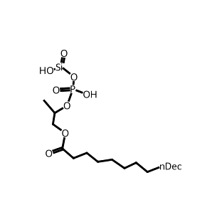 CCCCCCCCCCCCCCCCCC(=O)OCC(C)OP(=O)(O)O[Si](=O)O